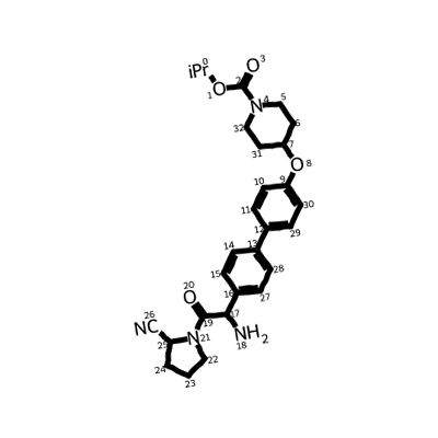 CC(C)OC(=O)N1CCC(Oc2ccc(-c3ccc(C(N)C(=O)N4CCCC4C#N)cc3)cc2)CC1